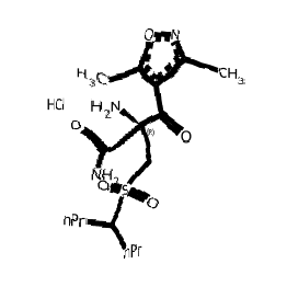 CCCC(CCC)S(=O)(=O)C[C@](N)(C(N)=O)C(=O)c1c(C)noc1C.Cl